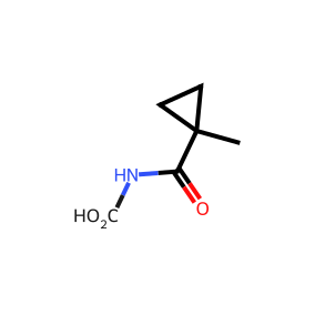 CC1(C(=O)NC(=O)O)CC1